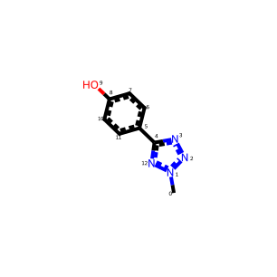 Cn1nnc(-c2ccc(O)cc2)n1